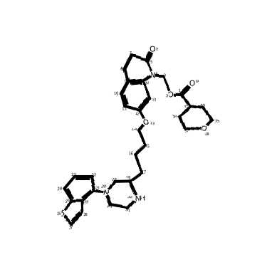 O=C(OCN1C(=O)CCc2ccc(OCCCCC3CN(c4cccc5sccc45)CCN3)cc21)C1CCOCC1